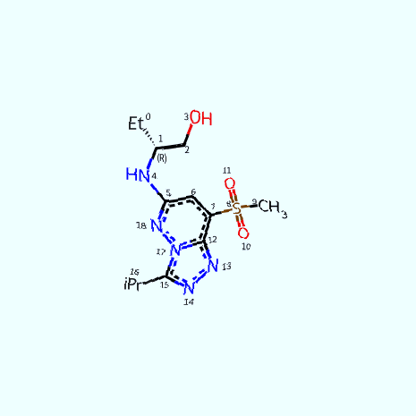 CC[C@H](CO)Nc1cc(S(C)(=O)=O)c2nnc(C(C)C)n2n1